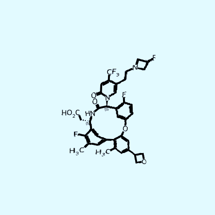 Cc1cc2cc(c1F)[C@H](CC(=O)O)NC(=O)[C@@H](n1cc(CCN3CC(F)C3)c(C(F)(F)F)cc1=O)c1cc(ccc1F)Oc1cc(C3COC3)cc(C)c1-2